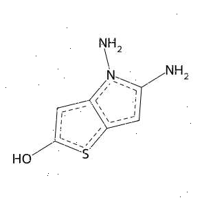 Nc1cc2sc(O)cc2n1N